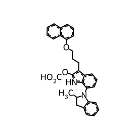 CC1Cc2ccccc2N1c1cccc2c(CCCOc3cccc4ccccc34)c(OC(=O)O)[nH]c12